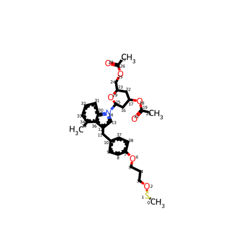 CSOCCCOc1ccc(Cc2cn(C3CC(OC(C)=O)CC(COC(C)=O)O3)c3cccc(C)c23)cc1